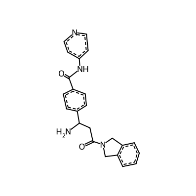 NC(CC(=O)N1Cc2ccccc2C1)c1ccc(C(=O)Nc2ccncc2)cc1